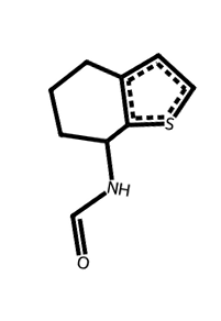 O=CNC1CCCc2ccsc21